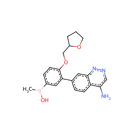 CB(O)c1ccc(OCC2CCCO2)c(-c2ccc3c(N)cnnc3c2)c1